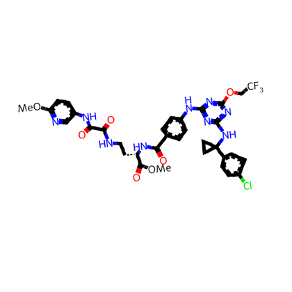 COC(=O)[C@H](CCNC(=O)C(=O)Nc1ccc(OC)nc1)NC(=O)c1ccc(Nc2nc(NC3(c4ccc(Cl)cc4)CC3)nc(OCC(F)(F)F)n2)cc1